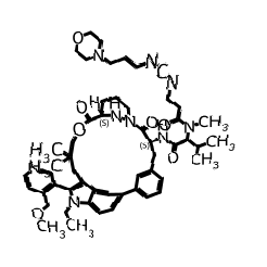 CCn1c(-c2cnccc2COC)c2c3cc(ccc31)-c1cccc(c1)C[C@H](NC(=O)C(C(C)C)N(C)C(=O)CCN=C=NCCCN1CCOCC1)C(=O)N1CCC[C@H](N1)C(=O)OCC(C)(C)C2